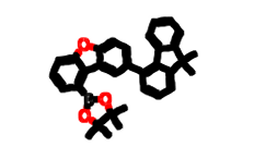 CC1(C)c2ccccc2-c2c(-c3ccc4oc5cccc(B6OC(C)(C)C(C)(C)O6)c5c4c3)cccc21